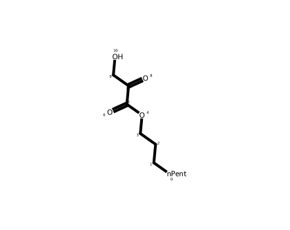 CCCCCCCCOC(=O)C(=O)CO